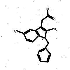 Cc1c(CC(N)=O)c2cc(N)ccc2n1Cc1ccccc1